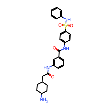 N[C@H]1CC[C@@H](CC(=O)Nc2cccc(C(=O)Nc3ccc(S(=O)(=O)Nc4ccccc4)cc3)c2)CC1